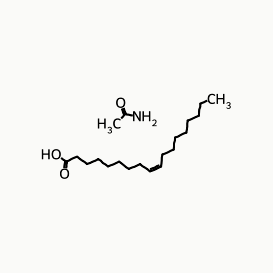 CC(N)=O.CCCCCCCC/C=C\CCCCCCCC(=O)O